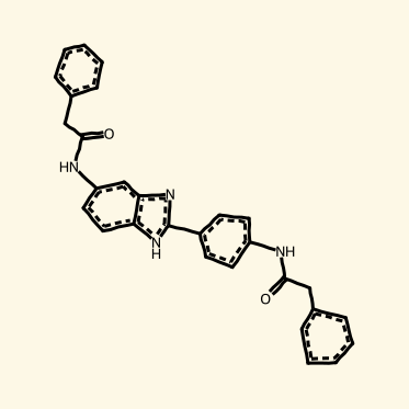 O=C(Cc1ccccc1)Nc1ccc(-c2nc3cc(NC(=O)Cc4ccccc4)ccc3[nH]2)cc1